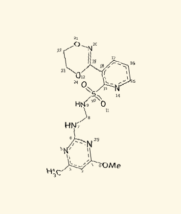 COc1cc(C)nc(NCNS(=O)(=O)c2ncccc2C2=NOCCO2)n1